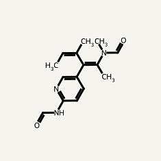 C/C=C(C)\C(=C(\C)N(C)C=O)c1ccc(NC=O)nc1